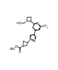 CC(C)(C)OC(=O)N1CC(n2cc(-c3cc(C(F)(F)F)nc(N4CC[C@@H]4CO)n3)cn2)C1